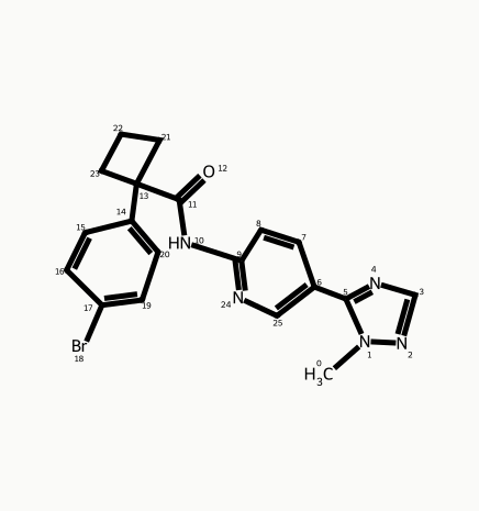 Cn1ncnc1-c1ccc(NC(=O)C2(c3ccc(Br)cc3)CCC2)nc1